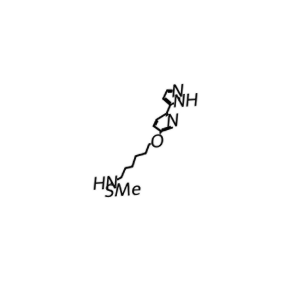 CSNCCCCCCOc1ccc(-c2ccn[nH]2)nc1